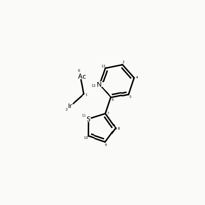 CC(=O)[CH2][Ir].c1ccc(-c2cccs2)nc1